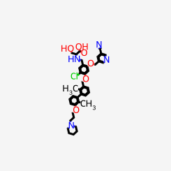 Cc1c(COc2cc(OCc3cncc(C#N)c3)c(CNC(CO)C(=O)O)cc2Cl)cccc1-c1cccc(OCCCN2CCCCC2)c1C